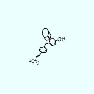 O=C(O)/C=C/c1ccc(CC2=CC=C(O)CC2=C2C3CCCC2CCC3)cc1